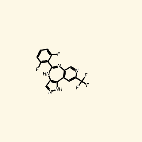 Fc1cccc(F)c1C1=Nc2cnc(C(F)(F)F)cc2-c2[nH]ncc2N1